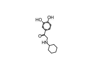 O=C(CNC1CCCCC1)c1ccc(O)c(O)c1